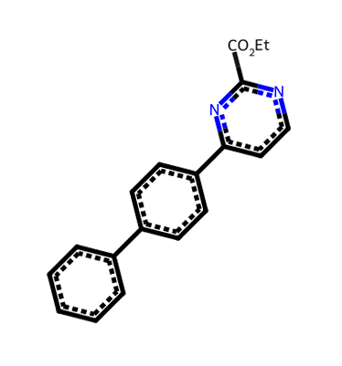 CCOC(=O)c1nccc(-c2ccc(-c3ccccc3)cc2)n1